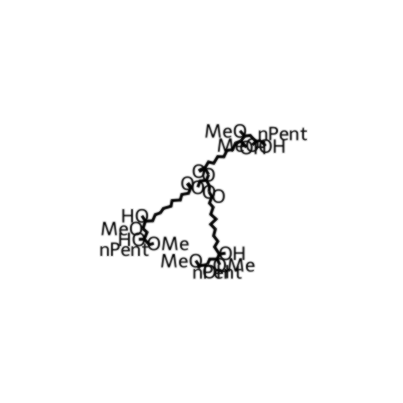 CCCCCC(O)C(CC(OC)C(O)CCCCCCCC(=O)OC(COC(=O)CCCCCCCCCC(O)C(CC(O)C(CCCCC)OC)OC)COC(=O)CCCCCCCCCC(O)C(CC(O)C(CCCCC)OC)OC)OC